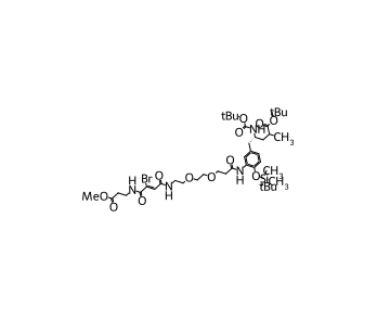 COC(=O)CCNC(=O)/C(Br)=C/C(=O)NCCOCCOCCC(=O)Nc1cc(C[C@@H](CC(C)C(=O)OC(C)(C)C)NC(=O)OC(C)(C)C)ccc1O[Si](C)(C)C(C)(C)C